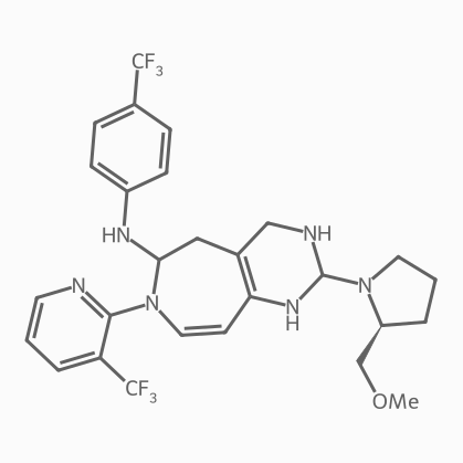 COC[C@@H]1CCCN1C1NCC2=C(C=CN(c3ncccc3C(F)(F)F)C(Nc3ccc(C(F)(F)F)cc3)C2)N1